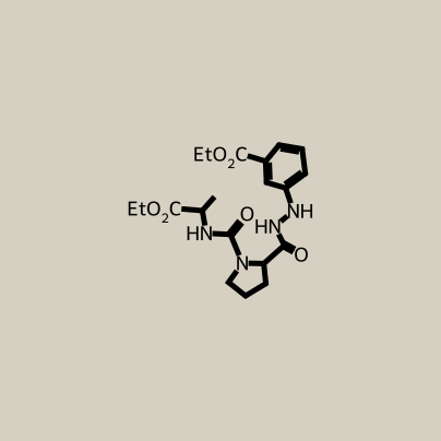 CCOC(=O)c1cccc(NNC(=O)C2CCCN2C(=O)NC(C)C(=O)OCC)c1